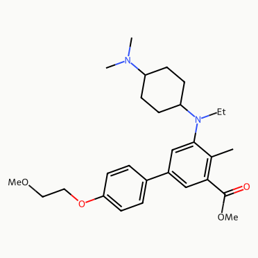 CCN(c1cc(-c2ccc(OCCOC)cc2)cc(C(=O)OC)c1C)C1CCC(N(C)C)CC1